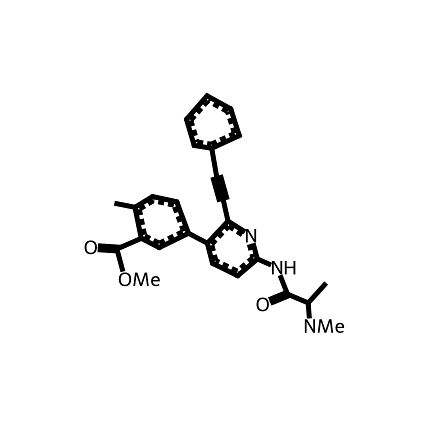 CNC(C)C(=O)Nc1ccc(-c2ccc(C)c(C(=O)OC)c2)c(C#Cc2ccccc2)n1